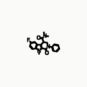 CN(C)C(=O)C1CN(c2ccccc2)C(=O)c2c1c1cc(F)ccc1n2C